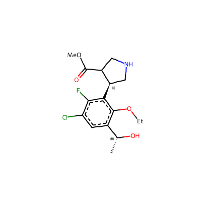 CCOc1c([C@@H](C)O)cc(Cl)c(F)c1[C@@H]1CNCC1C(=O)OC